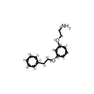 NCCOc1cccc(OCCc2ccccc2)c1